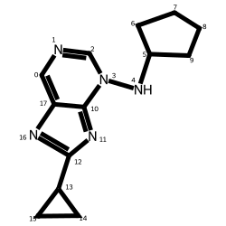 c1ncn(NC2CCCC2)c2nc(C3CC3)nc1-2